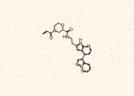 C=CC(=O)N1CCO[C@@H](C(=O)NCCc2cc3c(-c4cnn5ncccc45)ccnc3[nH]2)C1